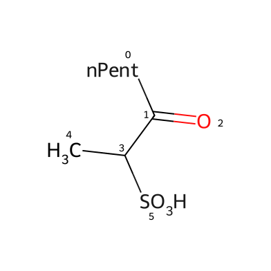 CCCCCC(=O)C(C)S(=O)(=O)O